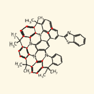 CC1(C)c2ccccc2N(c2cc(-c3cccc(-c4nc5ccccc5s4)c3)c(N3c4ccccc4C(C)(C)c4ccccc43)c(N3c4ccccc4C(C)(C)c4ccccc43)c2N2c3ccccc3C(C)(C)c3ccccc32)c2ccccc21